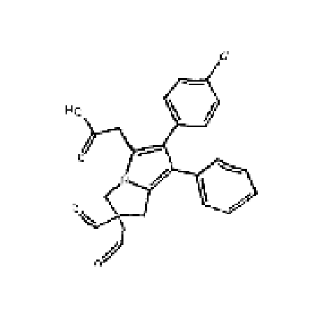 O=CC1(C=O)Cc2c(-c3ccccc3)c(-c3ccc(Cl)cc3)c(CC(=O)O)n2C1